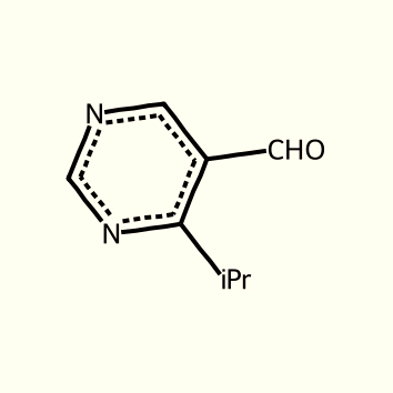 CC(C)c1ncncc1C=O